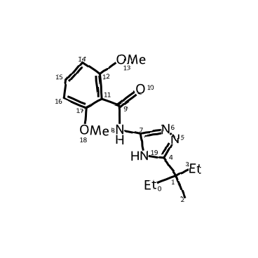 CCC(C)(CC)c1nnc(NC(=O)c2c(OC)cccc2OC)[nH]1